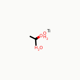 CC(C)=O.O.O.[Ti]